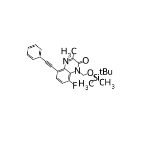 Cc1nc2c(C#Cc3ccccc3)ccc(F)c2n(CO[Si](C)(C)C(C)(C)C)c1=O